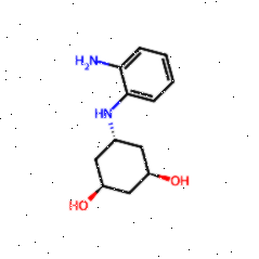 Nc1ccccc1N[C@H]1C[C@H](O)C[C@H](O)C1